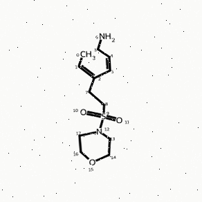 C/C=C(\C=C/CN)CCS(=O)(=O)N1CCOCC1